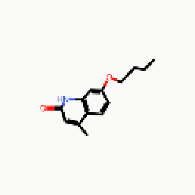 CCCCOc1ccc2c(C)cc(=O)[nH]c2c1